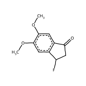 COc1cc2c(cc1OC)C(F)CC2=O